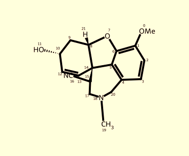 COc1ccc2c3c1O[C@H]1C[C@@H](O)C=C[C@@]31C(C#N)CN(C)C2